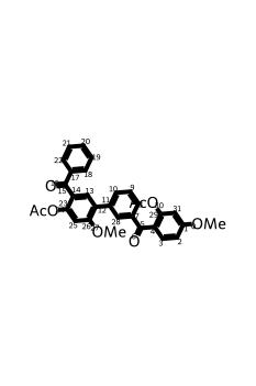 COc1ccc(C(=O)c2cccc(-c3cc(C(=O)c4ccccc4)c(OC(C)=O)cc3OC)c2)c(OC(C)=O)c1